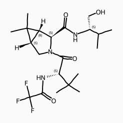 CC(C)[C@@H](CO)NC(=O)[C@@H]1[C@@H]2[C@H](CN1C(=O)[C@@H](NC(=O)C(F)(F)F)C(C)(C)C)C2(C)C